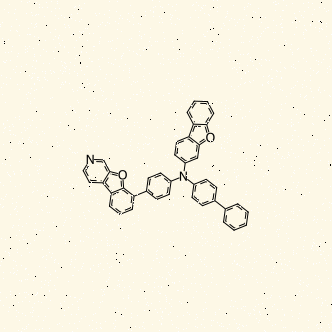 c1ccc(-c2ccc(N(c3ccc(-c4cccc5c4oc4cnccc45)cc3)c3ccc4c(c3)oc3ccccc34)cc2)cc1